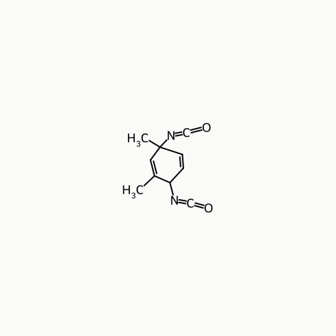 CC1=CC(C)(N=C=O)C=CC1N=C=O